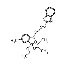 CCO[Si](OCC)(OCC)c1cc(C)ccc1SSSSSc1nc2ccccc2s1